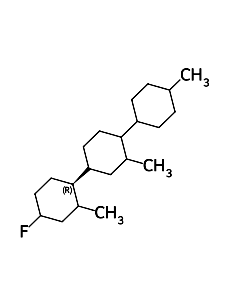 CC1CCC(C2CCC([C@@H]3CCC(F)CC3C)CC2C)CC1